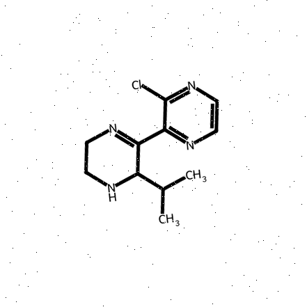 CC(C)C1NCCN=C1c1nccnc1Cl